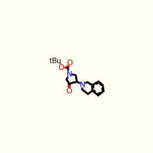 CC(C)(C)OC(=O)N1CC(=O)C(N2CCc3ccccc3C2)C1